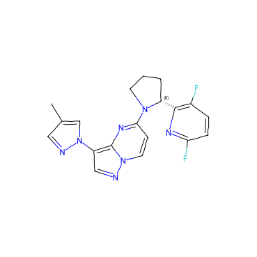 Cc1cnn(-c2cnn3ccc(N4CCC[C@@H]4c4nc(F)ccc4F)nc23)c1